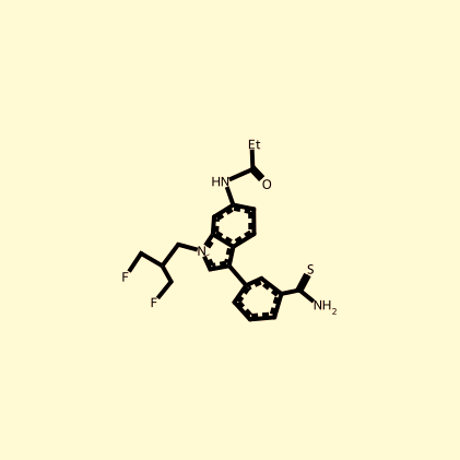 CCC(=O)Nc1ccc2c(-c3cccc(C(N)=S)c3)cn(CC(CF)CF)c2c1